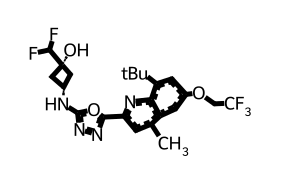 Cc1cc(-c2nnc(N[C@H]3C[C@](O)(C(F)F)C3)o2)nc2c(C(C)(C)C)cc(OCC(F)(F)F)cc12